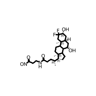 C[C@H](CCC(=O)NCCC(=O)N=O)[C@H]1CCC2C3C(CC[C@@]21C)[C@@]1(C)CC(F)(F)[C@H](O)C[C@H]1C[C@@H]3O